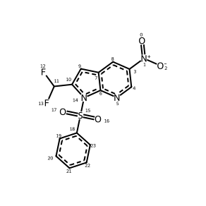 O=[N+]([O-])c1cnc2c(c1)cc(C(F)F)n2S(=O)(=O)c1ccccc1